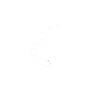 Cc1ccc(C(=O)Nc2ccc(CN3CCN(C)CC3)c(C(F)(F)F)c2)cc1-c1ccc2nn(C)cc2c1